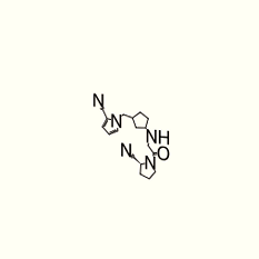 N#Cc1cccn1CC1CCC(NCC(=O)N2CCC[C@H]2C#N)C1